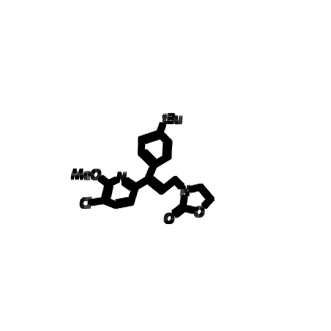 COc1nc(C(=CCN2CCOC2=O)c2ccc(C(C)(C)C)cc2)ccc1Cl